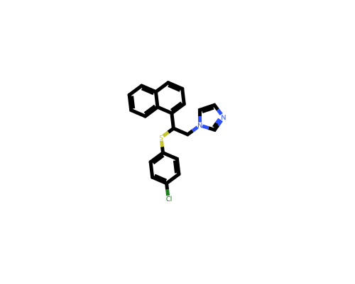 Clc1ccc(SC(Cn2ccnc2)c2cccc3ccccc23)cc1